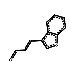 O=C/C=C/c1csc2ccccc12